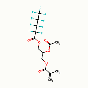 C=C(C)C(=O)OCC(COC(=O)C(F)(F)C(F)(F)C(F)(F)C(F)(F)F)OC(C)=O